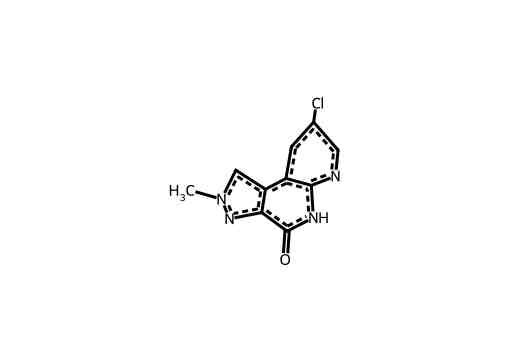 Cn1cc2c(n1)c(=O)[nH]c1ncc(Cl)cc12